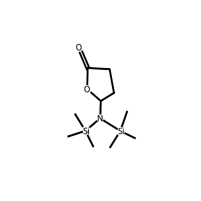 C[Si](C)(C)N(C1CCC(=O)O1)[Si](C)(C)C